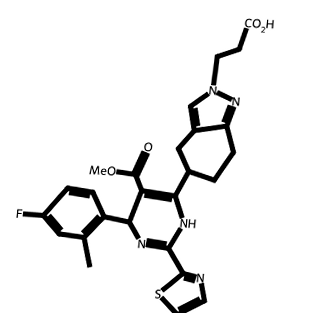 COC(=O)C1=C(C2CCc3nn(CCC(=O)O)cc3C2)NC(c2nccs2)=NC1c1ccc(F)cc1C